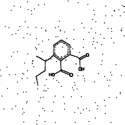 CCCC(C)c1cccc(C(=O)O)c1C(=O)O